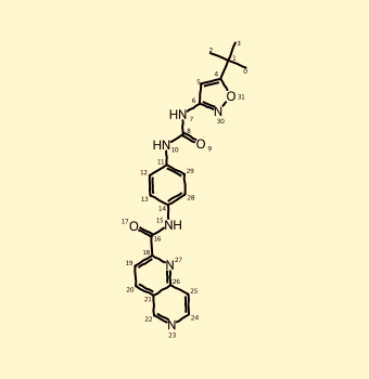 CC(C)(C)c1cc(NC(=O)Nc2ccc(NC(=O)c3ccc4cnccc4n3)cc2)no1